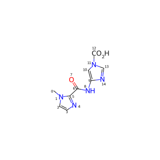 Cn1ccnc1C(=O)Nc1cn(C(=O)O)cn1